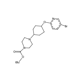 CC(C)(C)OC(=O)N1CCN(C2CCC(Oc3ccc(Br)cn3)CC2)CC1